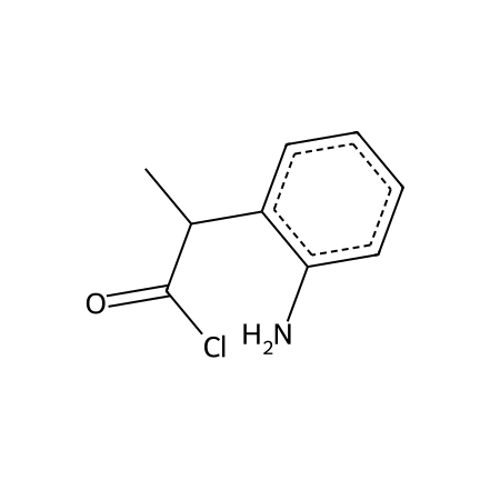 CC(C(=O)Cl)c1ccccc1N